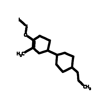 CCCC1CCC(C2CCC(OSI)=C(C)C2)CC1